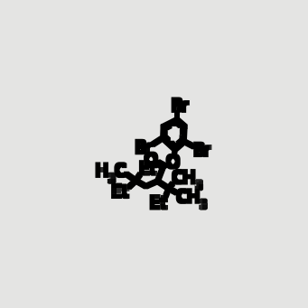 CCC(C)(CC)CC(C(=O)Oc1c(Br)cc(Br)cc1Br)C(C)(C)CC